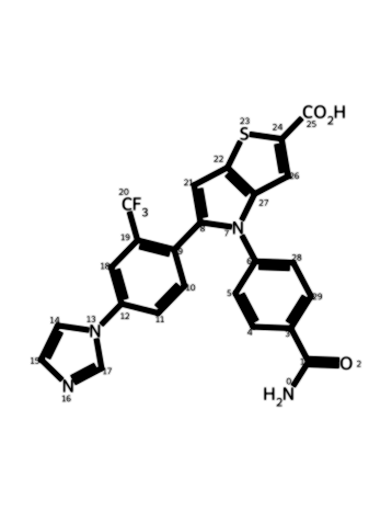 NC(=O)c1ccc(-n2c(-c3ccc(-n4ccnc4)cc3C(F)(F)F)cc3sc(C(=O)O)cc32)cc1